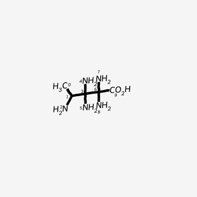 CC(N)C(N)(N)C(N)(N)C(=O)O